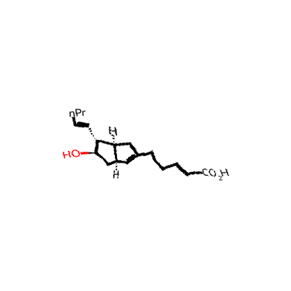 CCC/C=C/[C@@H]1[C@H]2CC(CCCCC(=O)O)=C[C@H]2C[C@H]1O